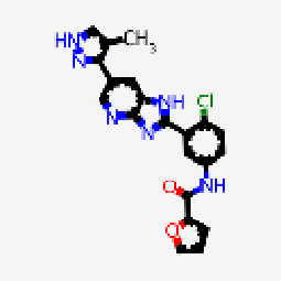 Cc1c[nH]nc1-c1cnc2nc(-c3cc(NC(=O)c4ccco4)ccc3Cl)[nH]c2c1